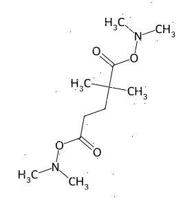 CN(C)OC(=O)CCC(C)(C)C(=O)ON(C)C